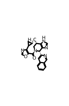 C[C@H]1CN(C(=O)c2ocnc2C2CC2)[C@@H](c2cc3ccccc3cn2)c2nc[nH]c21